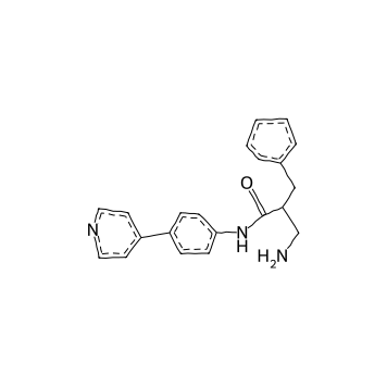 NCC(Cc1ccccc1)C(=O)Nc1ccc(-c2ccncc2)cc1